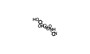 O=C(NCc1cccnc1)ON1CCC(c2ccc(O)cc2O)CC1